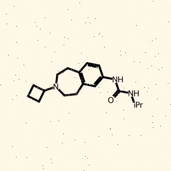 CC(C)NC(=O)Nc1ccc2c(c1)CCN(C1CCC1)CC2